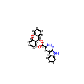 N[C@@H](Cc1c[nH]c2ccccc12)C(=O)OC1c2ccccc2Oc2ccccc21